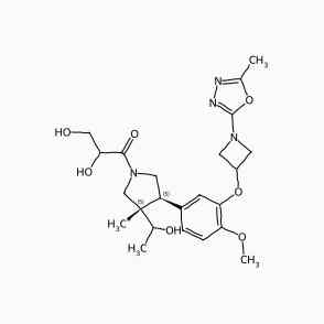 COc1ccc([C@@H]2CN(C(=O)C(O)CO)C[C@@]2(C)C(C)O)cc1OC1CN(c2nnc(C)o2)C1